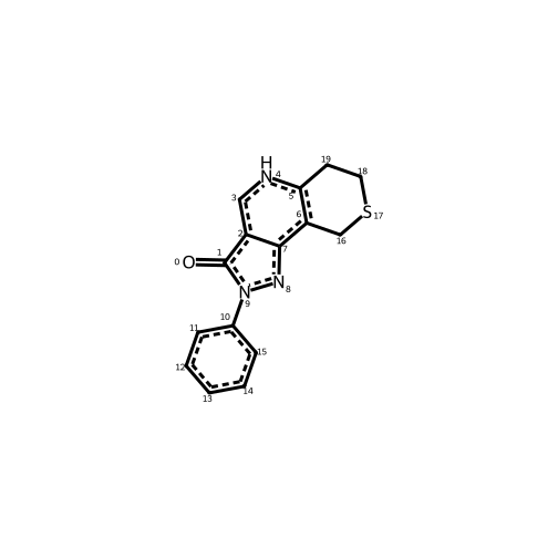 O=c1c2c[nH]c3c(c-2nn1-c1ccccc1)CSCC3